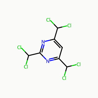 ClC(Cl)c1cc(C(Cl)Cl)nc(C(Cl)Cl)n1